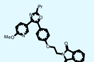 COc1ccc(-c2nc(C(C)C)oc2-c2ccc(OCCN3C(=O)c4ccccc4C3=O)cc2)cn1